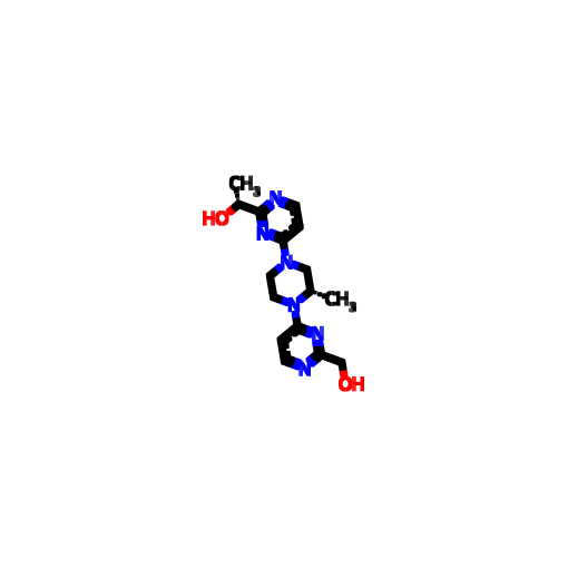 C[C@@H](O)c1nccc(N2CCN(c3ccnc(CO)n3)[C@@H](C)C2)n1